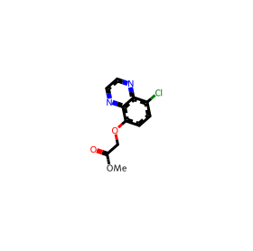 COC(=O)COc1ccc(Cl)c2nccnc12